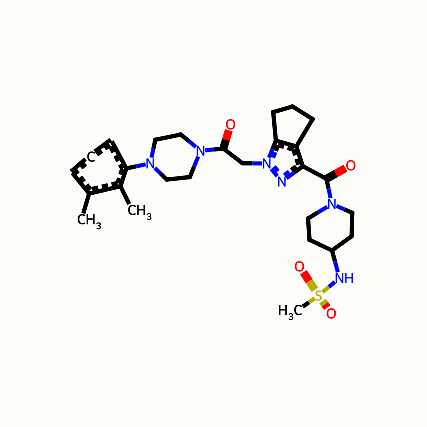 Cc1cccc(N2CCN(C(=O)Cn3nc(C(=O)N4CCC(NS(C)(=O)=O)CC4)c4c3CCC4)CC2)c1C